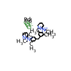 CC=[N+](c1ccccn1)c1c(C)cc(Cc2cc(C)c([N+](=CC)c3ccccn3)c(C)c2)cc1C.[Cl-].[Cl-].[Cl-].[Cl-].[Pd].[Pd]